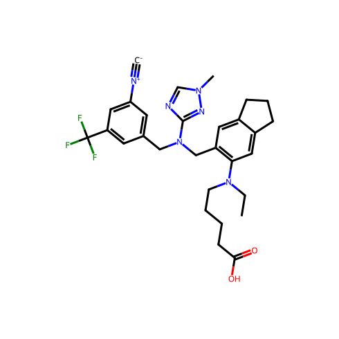 [C-]#[N+]c1cc(CN(Cc2cc3c(cc2N(CC)CCCCC(=O)O)CCC3)c2ncn(C)n2)cc(C(F)(F)F)c1